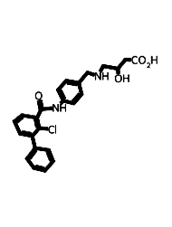 O=C(O)CC(O)CNCc1ccc(NC(=O)c2cccc(-c3ccccc3)c2Cl)cc1